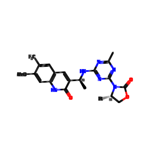 CC[C@H]1COC(=O)N1c1nc(C)nc(N[C@@H](C)c2cc3cc(C(F)(F)F)c(OC)cc3[nH]c2=O)n1